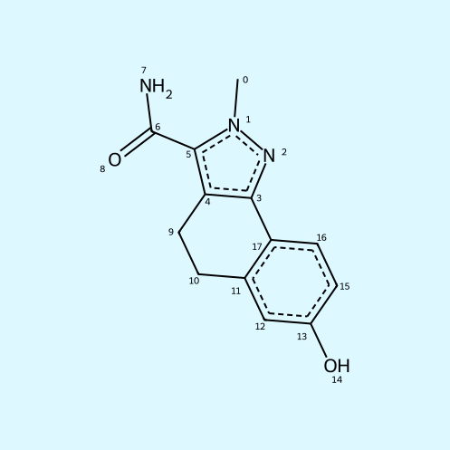 Cn1nc2c(c1C(N)=O)CCc1cc(O)ccc1-2